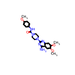 COc1ccc(NC(=O)N2CCN(c3nc(N)c4cc(OC)c(OC)cc4n3)CC2)cc1